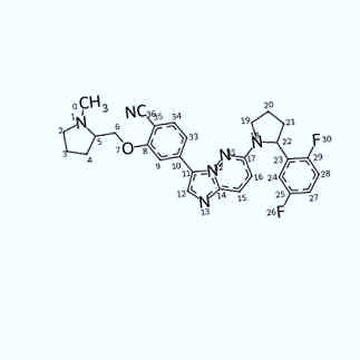 CN1CCCC1COc1cc(-c2cnc3ccc(N4CCCC4c4cc(F)ccc4F)nn23)ccc1C#N